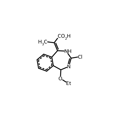 CCOC1N=C(Cl)NC(=C(C)C(=O)O)c2ccccc21